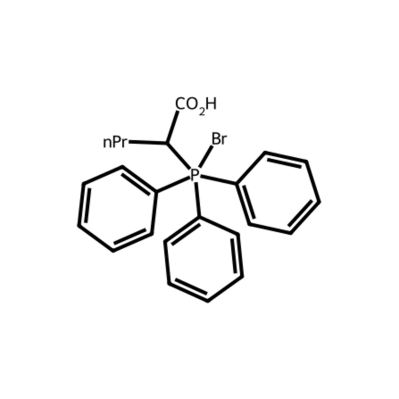 CCCC(C(=O)O)P(Br)(c1ccccc1)(c1ccccc1)c1ccccc1